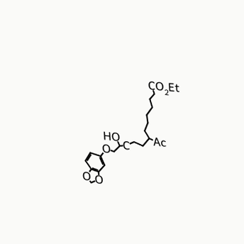 CCOC(=O)CCCCCCC(CCCC(O)COc1ccc2c(c1)OCO2)C(C)=O